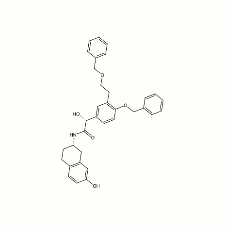 O=C(N[C@H]1CCc2ccc(O)cc2C1)[C@H](O)c1ccc(OCc2ccccc2)c(CCOCc2ccccc2)c1